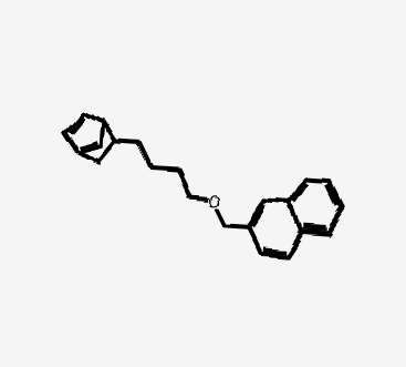 C1=CC2C=C1CC2CCCCOCc1ccc2ccccc2c1